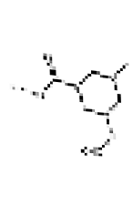 CC1CC(OC=O)CN(C(=O)OC(C)(C)C)C1